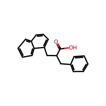 O=C(O)C(Cc1ccccc1)Cc1cccc2ccccc12